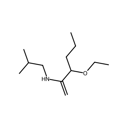 C=C(NCC(C)C)C(CCC)OCC